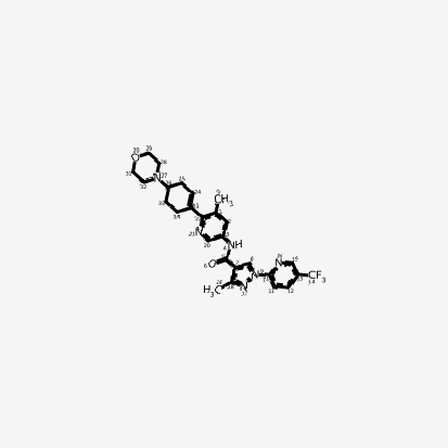 Cc1cc(NC(=O)c2cn(-c3ccc(C(F)(F)F)cn3)nc2C)cnc1C1=CCC(N2CCOCC2)CC1